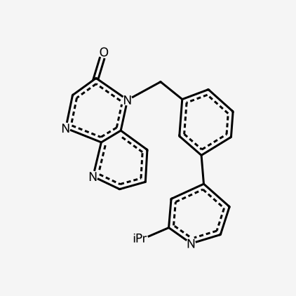 CC(C)c1cc(-c2cccc(Cn3c(=O)cnc4ncccc43)c2)ccn1